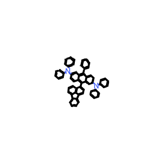 c1ccc(-c2c3cc(N(c4ccccc4)c4ccccc4)ccc3c(-c3ccc4c5c(cccc35)-c3ccccc3-4)c3cc(N(c4ccccc4)c4ccccc4)ccc23)cc1